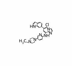 CCN1CCN(c2ccc(Nc3cc(-c4ccc5cc[nH]c5c4)c(Cl)n4ccnc34)nc2)CC1